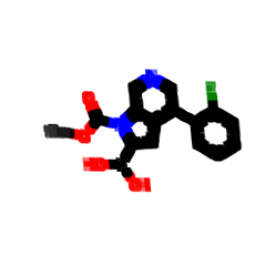 CC(C)(C)OC(=O)n1c(B(O)O)cc2c(-c3ccccc3F)cncc21